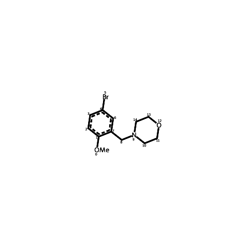 COc1ccc(Br)cc1CN1CCOCC1